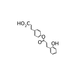 O=C(O)/C=C/c1ccc(OC(=O)/C=C/c2ccccc2O)cc1